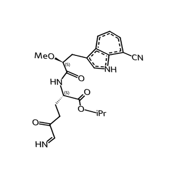 CO[C@@H](Cc1c[nH]c2c(C#N)cccc12)C(=O)N[C@@H](CCC(=O)C=N)C(=O)OC(C)C